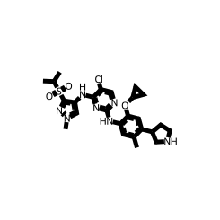 Cc1cc(Nc2ncc(Cl)c(Nc3cn(C)nc3S(=O)(=O)C(C)C)n2)c(OC2CC2)cc1C1CCNC1